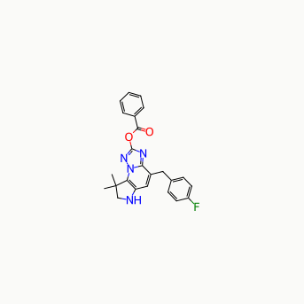 CC1(C)CNc2cc(Cc3ccc(F)cc3)c3nc(OC(=O)c4ccccc4)nn3c21